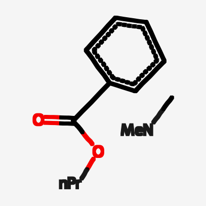 CCCOC(=O)c1ccccc1.CNC